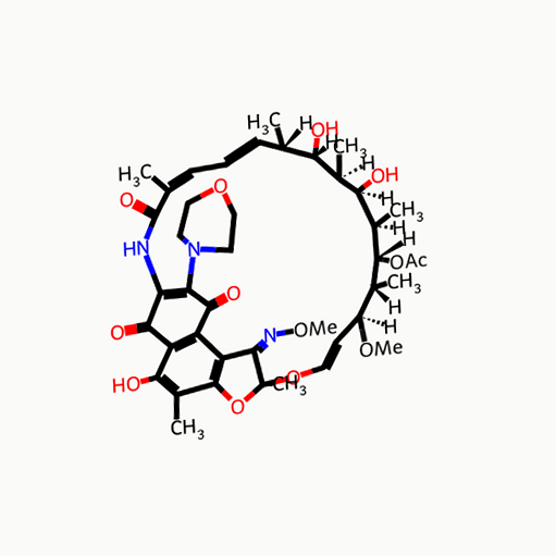 CO/N=C1/c2c3c(C)c(O)c4c2C(=O)C(N2CCOCC2)=C(NC(=O)/C(C)=C\C=C\[C@H](C)[C@H](O)[C@@H](C)[C@@H](O)[C@@H](C)[C@H](OC(C)=O)[C@H](C)[C@@H](OC)/C=C/O[C@@]1(C)O3)C4=O